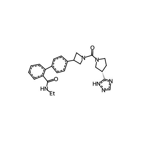 CCNC(=O)c1ccccc1-c1ccc(C2CN(C(=O)N3CC[C@H](c4ncn[nH]4)C3)C2)cc1